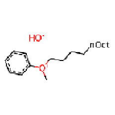 CCCCCCCCCCCC[O+](C)c1ccccc1.[OH-]